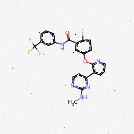 CNc1nccc(-c2cccnc2Oc2ccc(F)c(C(=O)Nc3cccc(C(F)(F)F)c3)c2)n1